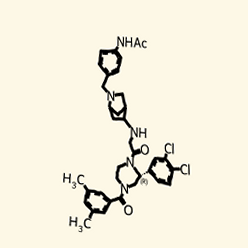 CC(=O)Nc1ccc(CN2CC3CC2CC3NCC(=O)N2CCN(C(=O)c3cc(C)cc(C)c3)C[C@H]2c2ccc(Cl)c(Cl)c2)cc1